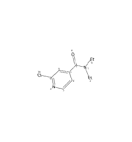 CCN(CC)C(=O)c1ccnc(Cl)c1